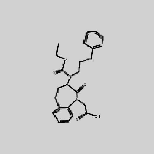 CCOC(=O)N(CCCc1ccccc1)C1CCc2ccccc2N(CC(=O)O)C1=O